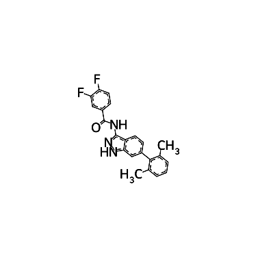 Cc1cccc(C)c1-c1ccc2c(NC(=O)c3ccc(F)c(F)c3)n[nH]c2c1